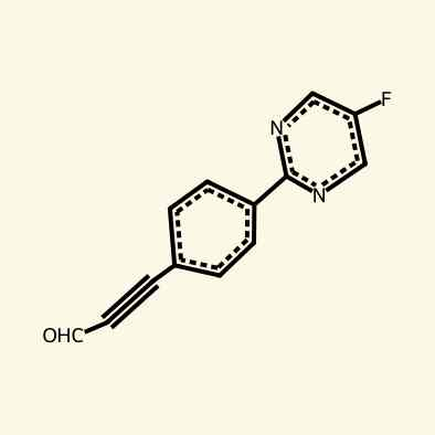 O=CC#Cc1ccc(-c2ncc(F)cn2)cc1